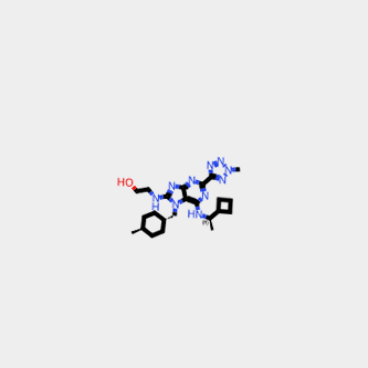 C[C@@H](Nc1nc(-c2nnn(C)n2)nc2nc(NCCO)n(C[C@H]3CC[C@H](C)CC3)c12)C1CCC1